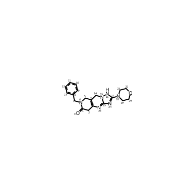 O=C1CC2=C(CN1Cc1ccccc1)CN1NC(N3CCOCC3)=NC1=N2